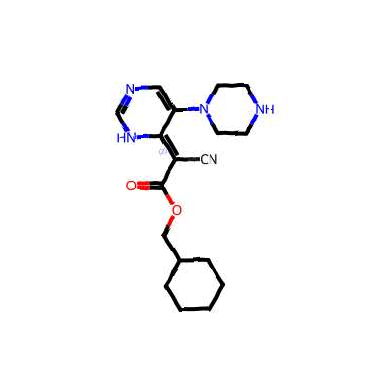 N#C/C(C(=O)OCC1CCCCC1)=C1/NC=NC=C1N1CCNCC1